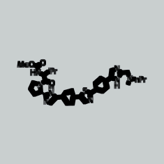 CCCN(C)Cc1ncc(-c2ccc(-c3ncc(-c4ccc(-c5cnc([C@@H]6CCCN6C(=O)C(NC(=O)OC)C(C)C)[nH]5)cc4)s3)cc2)[nH]1